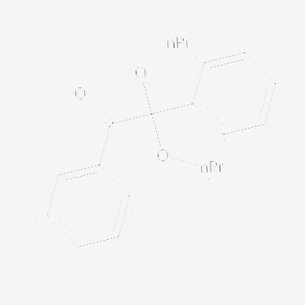 CCCOC(OCCC)(C(=O)c1ccccc1)c1ccccc1